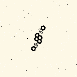 c1ccc2c(c1)SB(c1ccc3ccc4c(B5Sc6ccccc6S5)ccc5ccc1c3c54)S2